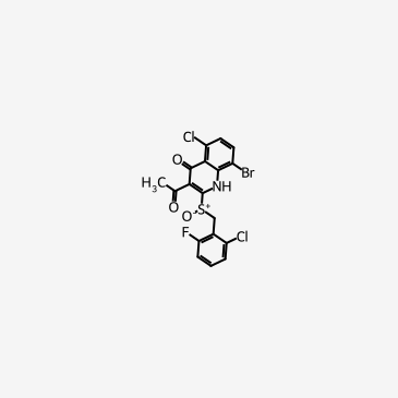 CC(=O)c1c([S+]([O-])Cc2c(F)cccc2Cl)[nH]c2c(Br)ccc(Cl)c2c1=O